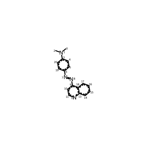 CN(C)c1ccc(N=Nc2ccnc3ccccc23)cc1